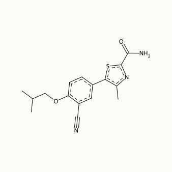 Cc1nc(C(N)=O)sc1-c1ccc(OCC(C)C)c(C#N)c1